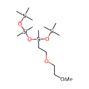 COCCOCC[Si](C)(O[Si](C)(C)C)O[Si](C)(C)O[Si](C)(C)C